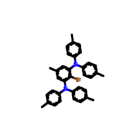 Cc1ccc(N(c2ccc(C)cc2)c2cc(C)cc(N(c3ccc(C)cc3)c3ccc(C)cc3)c2Br)cc1